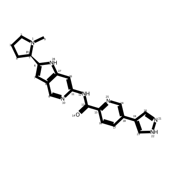 CN1CCC[C@@H]1c1cc2cnc(NC(=O)c3ccc(-c4cn[nH]c4)cn3)cc2[nH]1